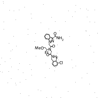 CCC(COC)N(CC(=O)NCc1cccc(Cl)c1F)C(=O)Cn1nc(C(N)=O)c2ccccc21